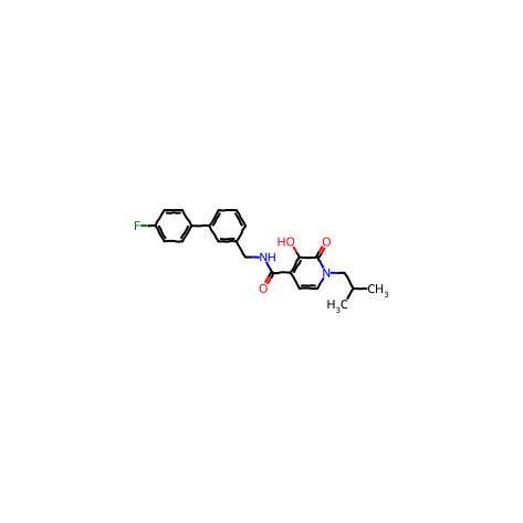 CC(C)Cn1ccc(C(=O)NCc2cccc(-c3ccc(F)cc3)c2)c(O)c1=O